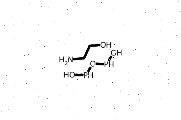 NCCO.OPOPO